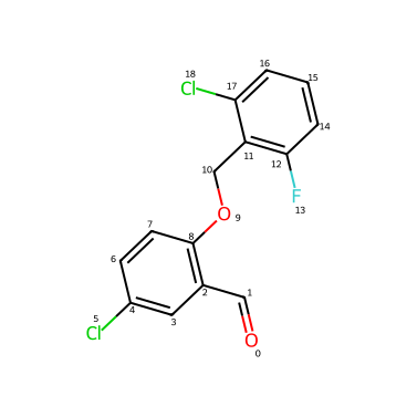 O=Cc1cc(Cl)ccc1OCc1c(F)cccc1Cl